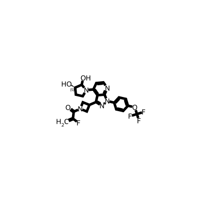 C=C(F)C(=O)N1CC(c2nn(-c3ccc(OC(F)(F)F)cc3)c3nccc(N4CC[C@H](O)C4O)c23)C1